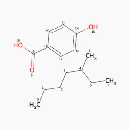 CCCCC(C)CC.O=C(O)c1ccc(O)cc1